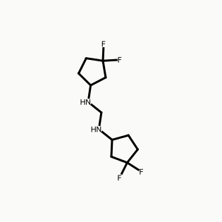 FC1(F)CCC(NCNC2CCC(F)(F)C2)C1